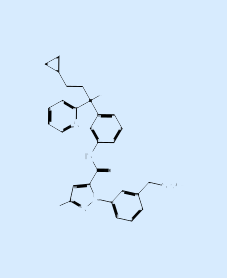 CNCc1cccc(-n2nc(C(F)(F)F)cc2C(=O)Nc2cccc(C(O)(CCC3CC3)c3ccccn3)c2)c1